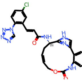 O=C(C=Cc1cc(Cl)ccc1-n1cnnn1)N[C@H]1CC=CCOC(=O)Nc2ccccc2-c2c[nH]c1n2